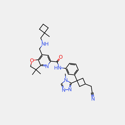 Cn1cnnc1C1(c2cccc(NC(=O)c3cc(CNCC4(C)CCC4)c4c(n3)C(C)(C)CO4)c2)CC(CC#N)C1